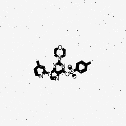 Cc1ccc(S(=O)(=O)Oc2nc(N3CCOCC3)nc3c2ncn3-c2cc(C)ccn2)cc1